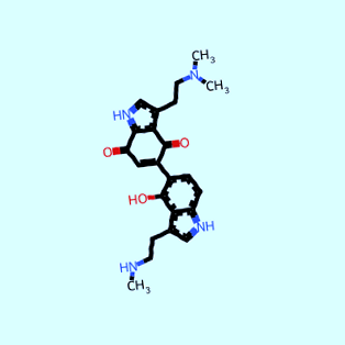 CNCCc1c[nH]c2ccc(C3=CC(=O)c4[nH]cc(CCN(C)C)c4C3=O)c(O)c12